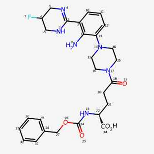 Nc1c(C2=NCC(F)CN2)cccc1N1CCN(C(=O)CC[C@H](NC(=O)OCc2ccccc2)C(=O)O)CC1